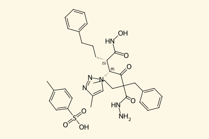 CCCC(Cc1ccccc1)(C(=O)NN)C(=O)[C@@H]([C@H](CCCc1ccccc1)C(=O)NO)n1cc(C)nn1.Cc1ccc(S(=O)(=O)O)cc1